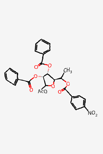 CC(=O)OC1O[C@H](C(C)OC(=O)c2ccc([N+](=O)[O-])cc2)[C@@H](OC(=O)c2ccccc2)[C@H]1OC(=O)c1ccccc1